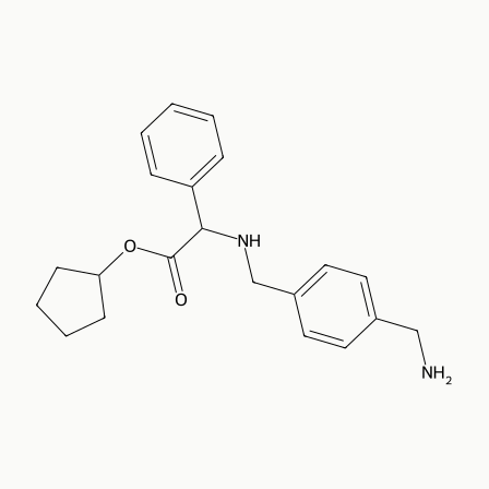 NCc1ccc(CNC(C(=O)OC2CCCC2)c2ccccc2)cc1